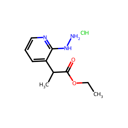 CCOC(=O)C(C)c1cccnc1NN.Cl